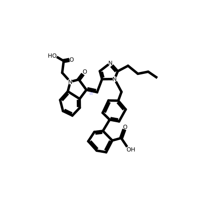 CCCCc1ncc(/C=C2\C(=O)N(CC(=O)O)c3ccccc32)n1Cc1ccc(-c2ccccc2C(=O)O)cc1